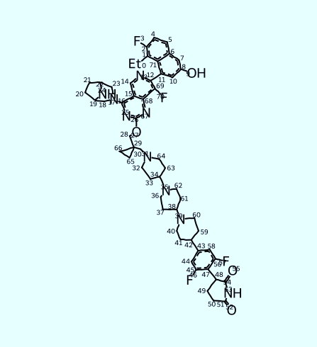 CCc1c(F)ccc2cc(O)cc(-c3ncc4c(N5CC6CCC(C5)N6)nc(OCC5(CN6CCC(N7CCC(N8CCC(c9cc(F)c(C%10CCC(=O)NC%10=O)c(F)c9)CC8)CC7)CC6)CC5)nc4c3F)c12